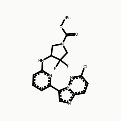 CC(C)(C)OC(=O)N1CC(Nc2cccc(-c3cnc4ccc(Cl)nn34)n2)C(F)(F)C1